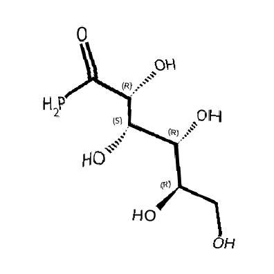 O=C(P)[C@H](O)[C@@H](O)[C@H](O)[C@H](O)CO